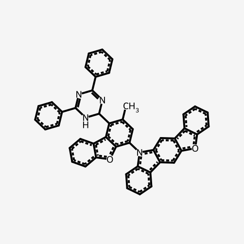 Cc1cc(-n2c3ccccc3c3cc4oc5ccccc5c4cc32)c2oc3ccccc3c2c1C1N=C(c2ccccc2)N=C(c2ccccc2)N1